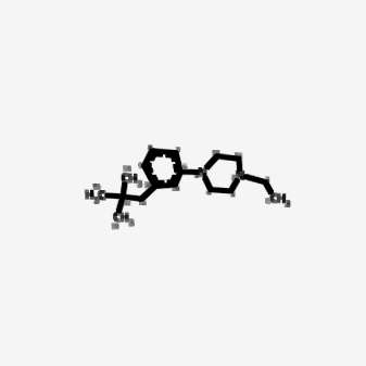 CCN1CCN(c2cccc(CC(C)(C)C)c2)CC1